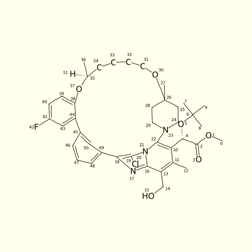 COC(=O)[C@@H](OC(C)(C)C)c1c(C)c(CO)c2nc3c(Cl)n2c1N1CCC(C)(CC1)OCCCC[C@H](C)Oc1ccc(F)cc1-c1cccc-3c1